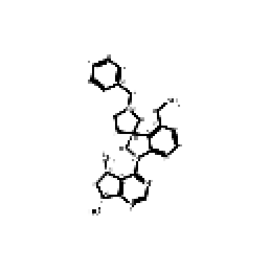 C[C@@H]1C[C@@H](O)c2ncnc(N3C[C@]4(CCN(Cc5ccccc5)C4)c4c(CN)cccc43)c21